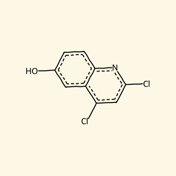 Oc1ccc2nc(Cl)cc(Cl)c2c1